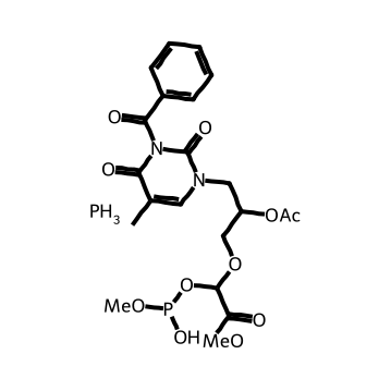 COC(=O)C(OCC(Cn1cc(C)c(=O)n(C(=O)c2ccccc2)c1=O)OC(C)=O)OP(O)OC.P